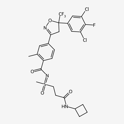 Cc1cc(C2=NOC(c3cc(Cl)c(F)c(Cl)c3)(C(F)(F)F)C2)ccc1C(=O)N=S(C)(=O)CCC(=O)NC1CCC1